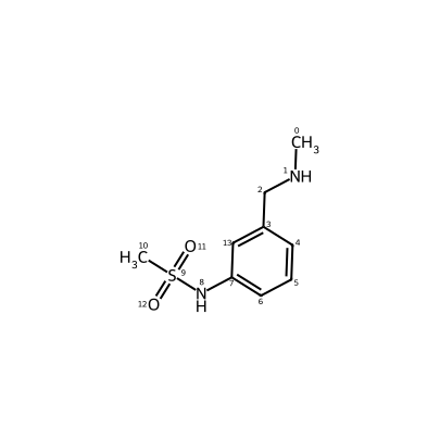 CNCc1cccc(NS(C)(=O)=O)c1